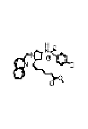 COC(=O)CCC/C=C\[C@@H]1C[C@@H](NS(=O)(=O)c2ccc(Cl)cc2)CN1Cc1ccc2ccccc2n1